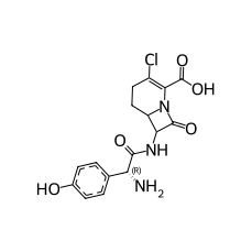 N[C@@H](C(=O)NC1C(=O)N2C(C(=O)O)=C(Cl)CCC12)c1ccc(O)cc1